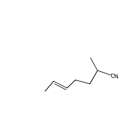 C/C=C/CCC(C)C#N